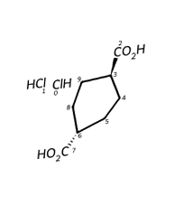 Cl.Cl.O=C(O)[C@H]1CC[C@H](C(=O)O)CC1